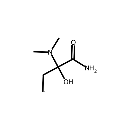 [CH2]CC(O)(C(N)=O)N(C)C